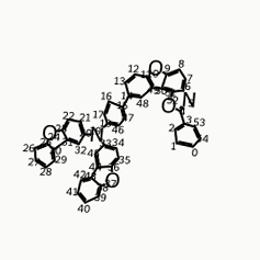 c1ccc(-c2nc3ccc4oc5ccc(-c6ccc(N(c7ccc8oc9ccccc9c8c7)c7ccc8oc9ccccc9c8c7)cc6)cc5c4c3o2)cc1